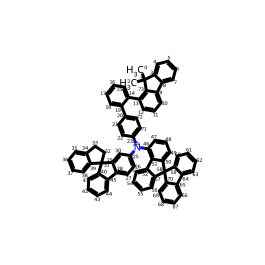 CC1(C)c2ccccc2-c2cccc(-c3ccccc3-c3ccc(N(c4ccc5c(c4)C4(CCc6ccccc64)c4ccccc4-5)c4cccc5c4-c4ccccc4C54c5ccccc5-c5ccccc54)cc3)c21